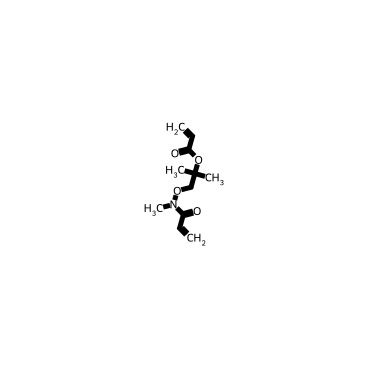 C=CC(=O)OC(C)(C)CON(C)C(=O)C=C